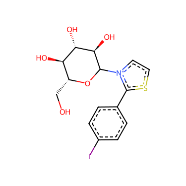 OC[C@H]1OC([n+]2ccsc2-c2ccc(I)cc2)[C@H](O)[C@@H](O)[C@@H]1O